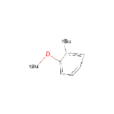 CCCCc1ccccc1OC(C)(C)C